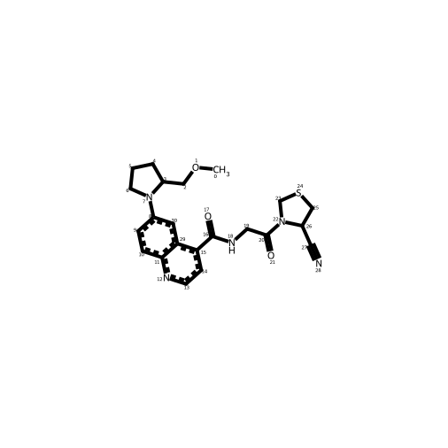 COCC1CCCN1c1ccc2nccc(C(=O)NCC(=O)N3CSCC3C#N)c2c1